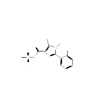 Cc1c(C(=O)NS(C)(=O)=O)nc(-c2ccccc2Cl)n1C